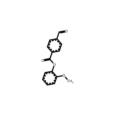 COc1ccccc1OC(=O)c1ccc(C=O)cc1